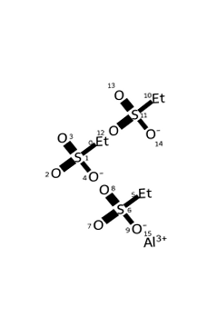 CCS(=O)(=O)[O-].CCS(=O)(=O)[O-].CCS(=O)(=O)[O-].[Al+3]